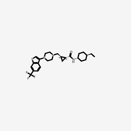 CC[C@H]1CC[C@H](NC(=O)[C@@H]2C[C@H]2CN2CCN(c3csc4cc(C(F)(F)F)ccc34)CC2)CC1